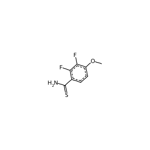 COc1ccc(C(N)=S)c(F)c1F